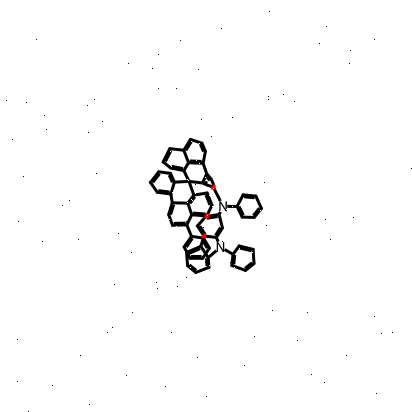 c1ccc(-c2ccc3c4c(cccc24)C2(c4cc(N(c5ccccc5)c5ccc6c7ccccc7n(-c7ccccc7)c6c5)ccc4-c4cccc5cccc2c45)c2ccccc2-3)cc1